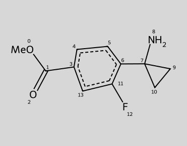 COC(=O)c1ccc(C2(N)CC2)c(F)c1